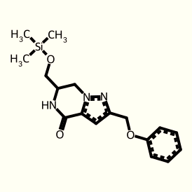 C[Si](C)(C)OCC1Cn2nc(COc3ccccc3)cc2C(=O)N1